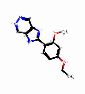 CCOc1ccc(-c2nc3cnncc3[nH]2)c(OC)c1